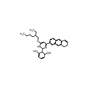 CCCCC(CC)COC1=CC(c2ccc3cc4c(cc3c2)CCC=C4)=NC(C2C(O)=CC=CC2O)N1